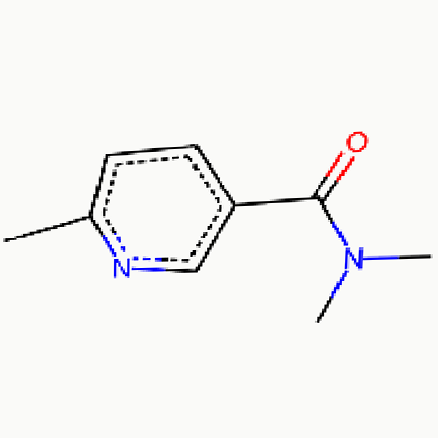 Cc1ccc(C(=O)N(C)C)cn1